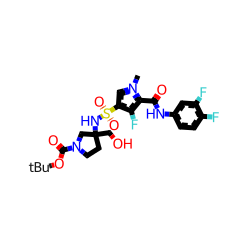 Cn1cc(S(=O)(=O)NC2(CO)CCN(C(=O)OC(C)(C)C)C2)c(F)c1C(=O)Nc1ccc(F)c(F)c1